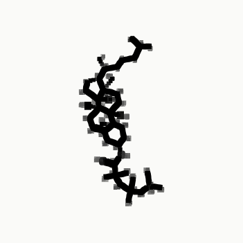 CC(C)CCC[C@@H](C)[C@H]1CC[C@H]2[C@@H]3CC=C4C[C@@H](OC(=O)C(C)(C)CC(C)(C)CN(C)C)CC[C@]4(C)[C@H]3CC[C@]12C